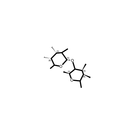 CC1[C@H](OC2[C@H](C)OC(C)[C@H](C)[C@@H]2C)OC(C)[C@H](C)[C@@H]1C